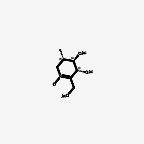 CC(=O)OCC1=[N+]([O-])C[C@H](C)[C@@H](OC(C)=O)[C@@H]1OC(C)=O